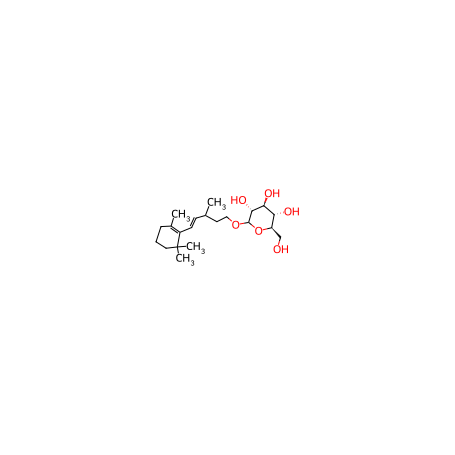 CC1=C(/C=C/C(C)CCOC2O[C@H](CO)[C@@H](O)[C@H](O)[C@H]2O)C(C)(C)CCC1